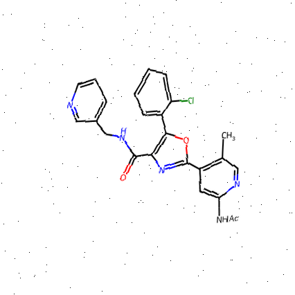 CC(=O)Nc1cc(-c2nc(C(=O)NCc3cccnc3)c(-c3ccccc3Cl)o2)c(C)cn1